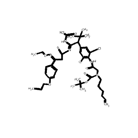 C=CCCCCN(CC(=O)Nc1c(Cl)cc(C(C(=NC(=O)CC(=NOCC)c2ccc(OCC=C)cc2)NC(=O)O)C(C)(C)C)cc1Cl)C(=O)OC(C)(C)C